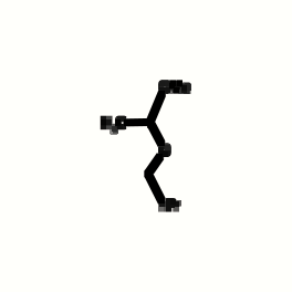 CCCCO[C](C)OC